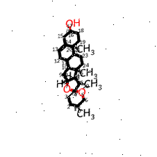 C[C@@H]1CC[C@@]2(OC1)O[C@H]1CC3C4CC=C5C[C@@H](O)CC[C@]5(C)C4CC[C@]3(C)[C@H]1[C@@H]2C